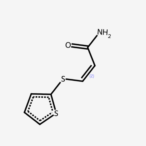 NC(=O)/C=C\Sc1cccs1